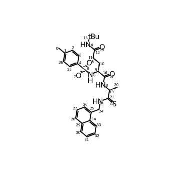 Cc1ccc(S(=O)(=O)N[C@@H](CCC(=O)NC(C)(C)C)C(=O)N[C@@H](C)C(=S)NCc2cccc3ccccc23)cc1